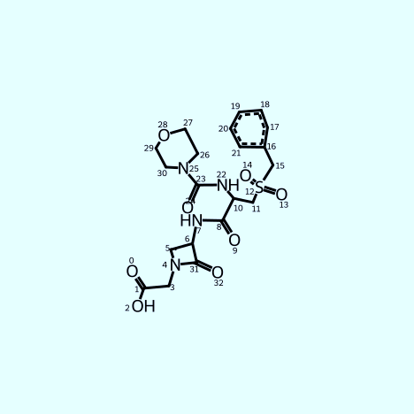 O=C(O)CN1[CH]C(NC(=O)C(CS(=O)(=O)Cc2ccccc2)NC(=O)N2CCOCC2)C1=O